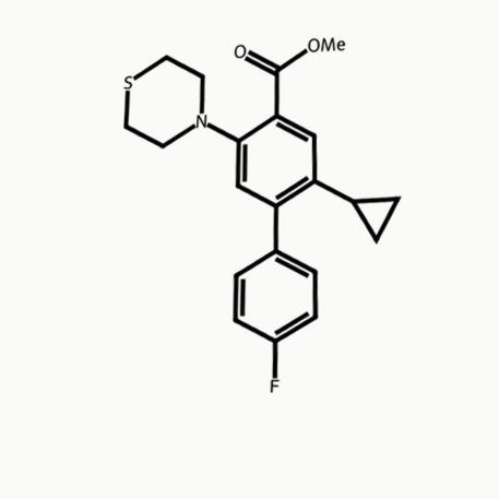 COC(=O)c1cc(C2CC2)c(-c2ccc(F)cc2)cc1N1CCSCC1